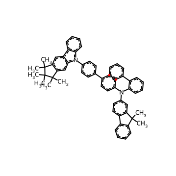 CC1(C)c2ccccc2-c2ccc(N(c3ccc(-c4ccc(-n5c6ccccc6c6cc7c(cc65)C(C)(C)C(C)(C)C7(C)C)cc4)cc3)c3ccccc3-c3ccccc3)cc21